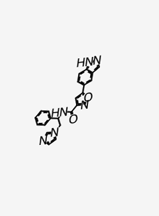 O=C(NC(Cn1ccnc1)c1ccccc1)c1cc(-c2ccc3[nH]ncc3c2)on1